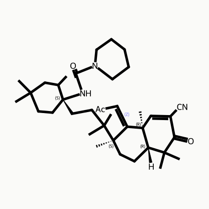 CC(=O)/C=C1/[C@@]2(C)C=C(C#N)C(=O)C(C)(C)[C@@H]2CC[C@@]1(C)C(C)(C)CC[C@@]1(NC(=O)N2CCCCC2)CCC(C)(C)CC1C